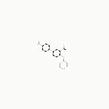 CC(C)c1ccc(-c2ccc(NC3CCNCC3)c(C(N)=O)c2)cc1